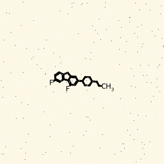 CCCC1CCC(c2cc(F)c3c(c2)Cc2ccc(F)cc2-3)CC1